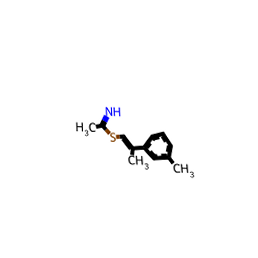 CC(=N)S/C=C(\C)c1cccc(C)c1